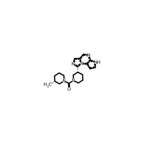 C[C@@H]1CCCN(C(=O)N2CCC[C@@H](c3ncc4cnc5[nH]ccc5n34)C2)C1